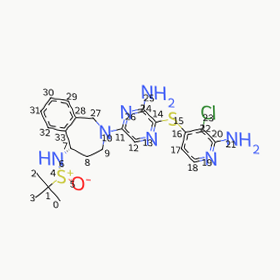 CC(C)(C)[S@@+]([O-])N[C@H]1CCN(c2cnc(Sc3ccnc(N)c3Cl)c(N)n2)Cc2ccccc21